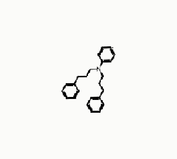 [c]1ccc(N(CCCc2ccccc2)CCCc2ccccc2)cc1